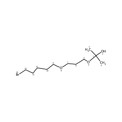 CC(C)(O)OCCCOCCCCCBr